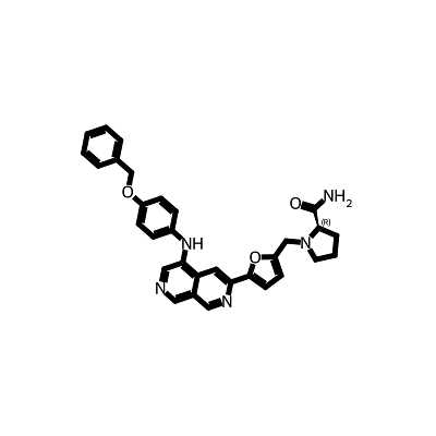 NC(=O)[C@H]1CCCN1Cc1ccc(-c2cc3c(Nc4ccc(OCc5ccccc5)cc4)cncc3cn2)o1